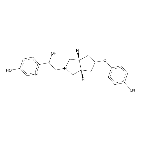 N#Cc1ccc(OC2C[C@@H]3CN(CC(O)c4ccc(O)cn4)C[C@@H]3C2)cc1